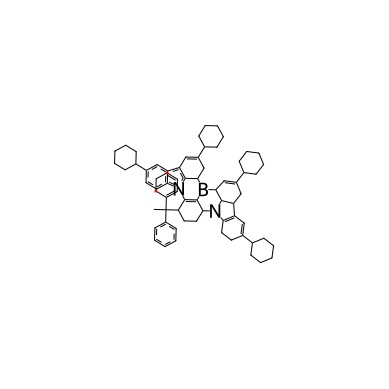 CC(C1=CC=CCC1)(c1ccccc1)C1CCC2C3=C1n1c4c(c5cc(C6CCCCC6)ccc51)C=C(C1CCCCC1)CC4B3C1C=C(C3CCCCC3)CC3C4=C(CCC(C5CCCCC5)=C4)N2C13